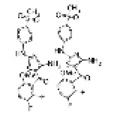 COc1ccc(F)c(F)c1C(=O)c1sc(Nc2ccc(S(C)(=O)=O)cc2)nc1N.COc1ccc(F)c(F)c1C(=O)c1sc(Nc2ccc(S(C)(=O)=O)cc2)nc1N